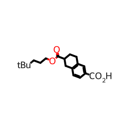 CC(C)(C)CCCOC(=O)C1CCc2cc(C(=O)O)ccc2C1